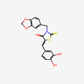 O=C1/C(=C/c2ccc(O)c(O)c2)SC(=S)N1Cc1ccc2c(c1)OCO2